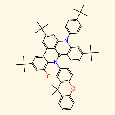 CC(C)(C)c1ccc(N2c3cc(C(C)(C)C)ccc3B3c4c(cc(C(C)(C)C)cc42)-c2cc(C(C)(C)C)cc4c2N3c2ccc3c(c2O4)C(C)(C)c2ccccc2O3)cc1